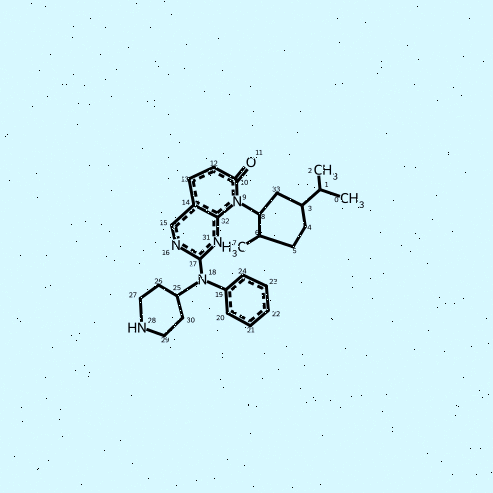 CC(C)C1CCC(C)C(n2c(=O)ccc3cnc(N(c4ccccc4)C4CCNCC4)nc32)C1